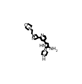 Nc1cc(-c2ccnc(C3C=NN(CCN4CCOCC4)C3)c2)[nH]c1N1CCNCC1